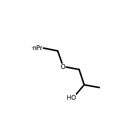 CC[CH]COCC(C)O